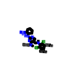 COc1cc(OC)c(Cl)c(N(C)Cc2cnc(N[C@@H]3CCCCC3N)nc2N(C)C=O)c1Cl